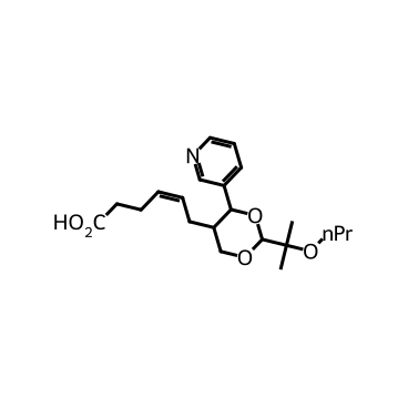 CCCOC(C)(C)C1OCC(C/C=C\CCC(=O)O)C(c2cccnc2)O1